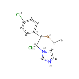 CCSC(c1ccc(Cl)cc1)C(Cl)n1ccnc1